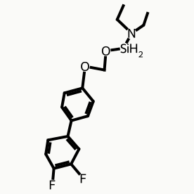 CCN(CC)[SiH2]OCOc1ccc(-c2ccc(F)c(F)c2)cc1